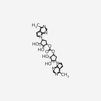 Cc1ncnc2c1ccn2[C@@H]1C[C@H](OC(=O)O[C@H]2C[C@@H](n3ccc4c(C)ncnc43)[C@H](O)[C@@H]2O)[C@@H](O)[C@H]1O